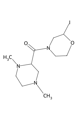 CN1CCN(C)C(C(=O)N2CCOC(I)C2)C1